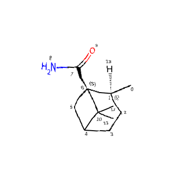 C[C@H]1[CH]CC2C[C@@]1(C(N)=O)C2(C)C